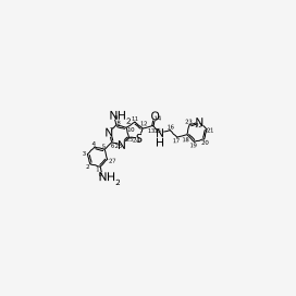 Nc1cccc(-c2nc(N)c3cc(C(=O)NCCc4cccnc4)sc3n2)c1